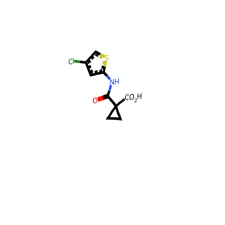 O=C(O)C1(C(=O)Nc2cc(Cl)cs2)CC1